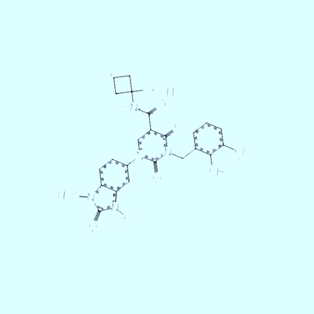 Cc1c(Cn2c(=O)c(C(=O)NC3(C(=O)O)CCC3)cn(-c3ccc4c(c3)n(C)c(=O)n4C)c2=O)cccc1C(F)(F)F